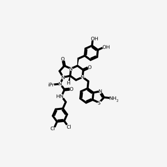 CC(C)N(C(=O)NCc1ccc(Cl)c(Cl)c1)N1CC(=O)N2[C@@H](Cc3ccc(O)c(O)c3)C(=O)N(Cc3cccc4sc(N)nc34)C[C@@H]21